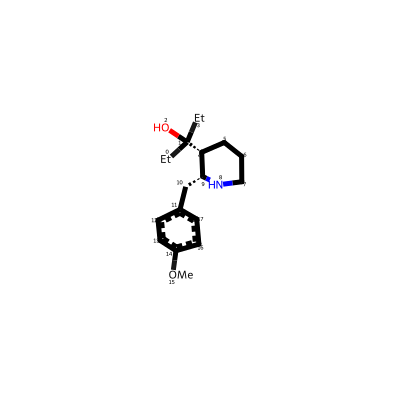 CCC(O)(CC)[C@@H]1CCCN[C@@H]1Cc1ccc(OC)cc1